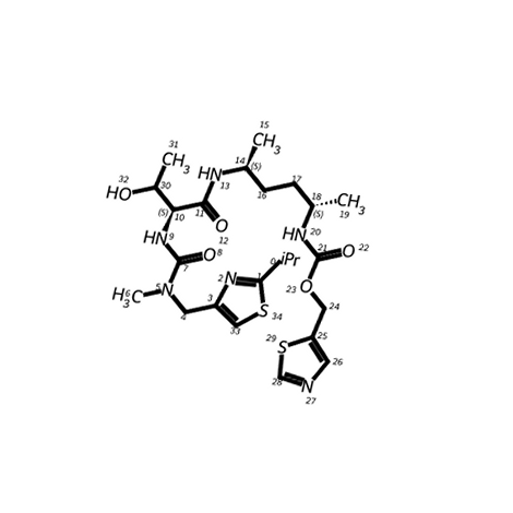 CC(C)c1nc(CN(C)C(=O)N[C@H](C(=O)N[C@@H](C)CC[C@H](C)NC(=O)OCc2cncs2)C(C)O)cs1